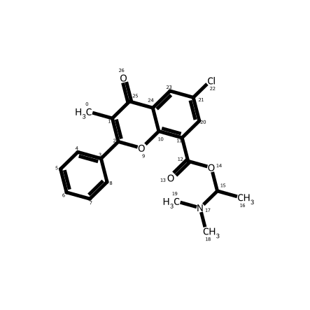 Cc1c(-c2ccccc2)oc2c(C(=O)OC(C)N(C)C)cc(Cl)cc2c1=O